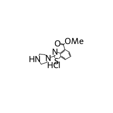 COC(=O)c1cccc2sc(N3CCNCC3)nc12.Cl